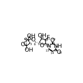 O=C(O)CP(O)(=S)OC[C@H]1O[C@@H](n2ccc(=O)[nH]c2=O)[C@H](F)[C@@H]1O